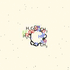 CC(C)[C@@H]1OC(=O)[C@@](C)(COC(F)(F)F)/C=C/c2ccc3ccc(nc3c2)[C@@H](C)NC(=O)[C@@H]2CCCN(N2)C(=O)[C@H](C)NC1=O